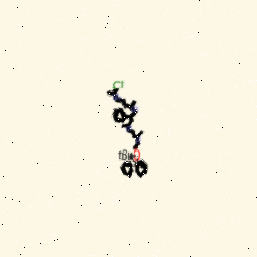 C/C(=C/CC/C(C)=C\C(C/C(C)=C\CC/C(C)=C\CO[Si](c1ccccc1)(c1ccccc1)C(C)(C)C)c1ccccc1)CCl